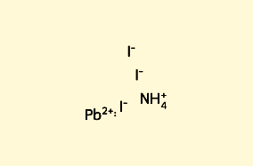 [I-].[I-].[I-].[NH4+].[Pb+2]